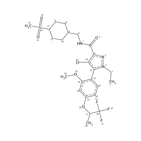 CCn1nc(C(=O)NCC2CCC(S(C)(=O)=O)CC2)c(Cl)c1-c1ccc(OC(C)C(F)(F)F)cc1OC